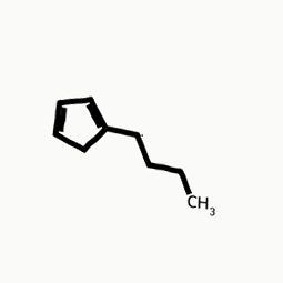 CCC[CH]C1=CC=CC1